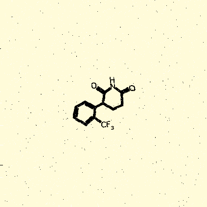 O=C1CCC(c2ccccc2C(F)(F)F)C(=O)N1